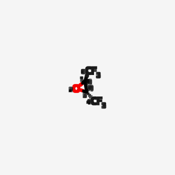 FC(F)(F)[C@@H]1O[C@H]1C(F)(F)F